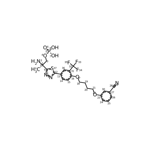 C[C@](N)(COP(=O)(O)O)c1nnc(-c2ccc(OCCCCOc3cccc(C#N)c3)c(C(F)(F)F)c2)s1